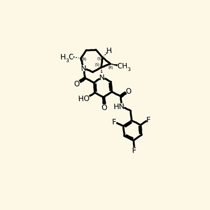 C[C@@H]1CC[C@H]2[C@@H](C)[C@@]23CN1C(=O)c1c(O)c(=O)c(C(=O)NCc2c(F)cc(F)cc2F)cn13